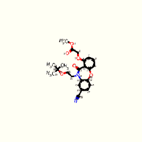 COC(=O)COc1cccc2c1C(=O)N(CCOC(C)(C)C)c1cc(C#N)ccc1O2